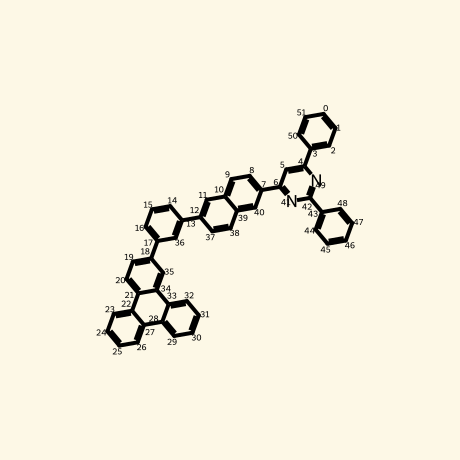 c1ccc(-c2cc(-c3ccc4cc(-c5cccc(-c6ccc7c8ccccc8c8ccccc8c7c6)c5)ccc4c3)nc(-c3ccccc3)n2)cc1